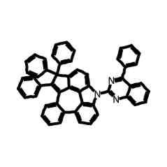 c1ccc(C2=C3c4ccccc4-c4cccc5c4c4c3c(ccc4n5-c3nc(-c4ccccc4)c4ccccc4n3)C2(c2ccccc2)c2ccccc2)cc1